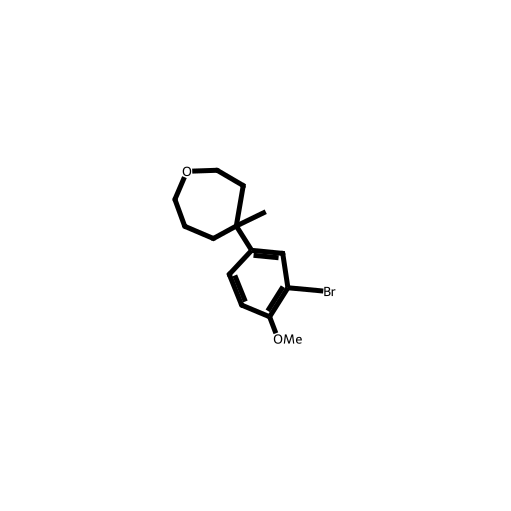 COc1ccc(C2(C)CCCOCC2)cc1Br